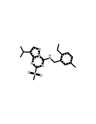 CCc1ccc(C)cc1CNc1nc(S(C)(=O)=O)nc2c(C(C)C)cnn12